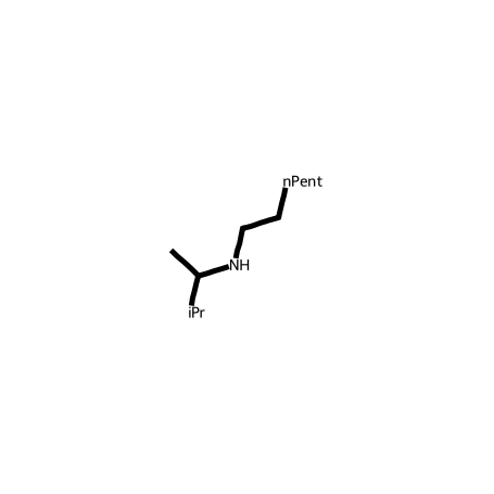 CCCCCCCNC(C)C(C)C